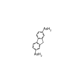 [AsH2]c1ccc2c(c1)Cc1cc([AsH2])ccc1-2